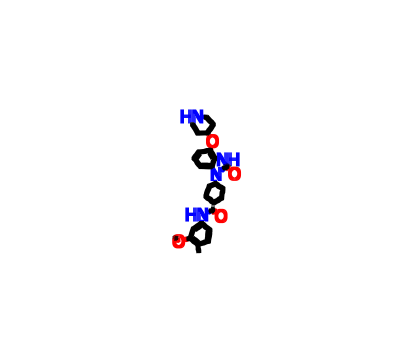 COc1cc(NC(=O)[C@H]2CC[C@@H](n3c(=O)[nH]c4c(OC5CCNCC5)cccc43)CC2)ccc1C